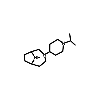 CC(C)N1CCC(N2CCC3CCC(C2)N3)CC1